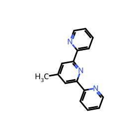 Cc1cc(-c2ccccn2)nc(-c2ccccn2)c1